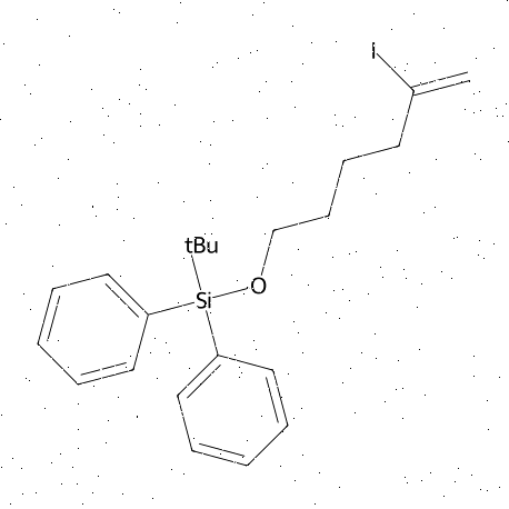 C=C(I)CCCCO[Si](c1ccccc1)(c1ccccc1)C(C)(C)C